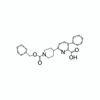 O=C(O)c1nc(C2CCN(C(=O)OCc3ccccc3)CC2)ccc1-c1ccccc1